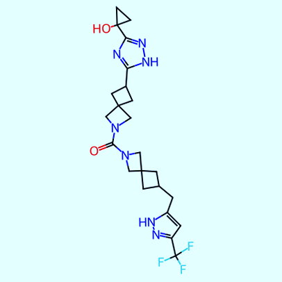 O=C(N1CC2(CC(Cc3cc(C(F)(F)F)n[nH]3)C2)C1)N1CC2(CC(c3nc(C4(O)CC4)n[nH]3)C2)C1